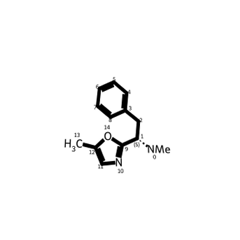 CN[C@@H](Cc1ccccc1)c1ncc(C)o1